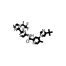 Cc1cnc(C(=O)Nc2csc(-c3nncn3[C@@H](C)C(F)(F)F)n2)cc1-n1cnc(C(C)(C)C)c1